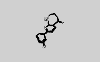 O=C1CCCNc2nc(-c3cccc(Cl)c3)ccc21